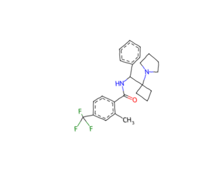 Cc1cc(C(F)(F)F)ccc1C(=O)NC(c1ccccc1)C1(N2CCCC2)CCC1